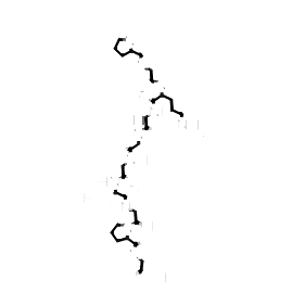 C=C(CNC(=O)C(C)NC(=O)CNC(=O)CNC(=O)CNC(=O)C(CCC(N)=O)NC(=O)CNC(=O)C1CCCN1)N1CCCC1C(=O)NCC(=O)O